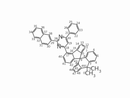 CC1(C)c2ccccc2C2(c3ccccc3-c3c(-c4cc(-c5ccccc5)nc(-c5ccc6ccccc6c5)n4)cccc32)c2ccccc21